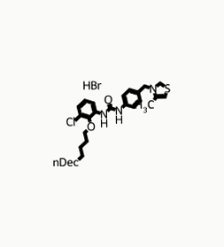 Br.CCCCCCCCCCCCCCOc1c(Cl)cccc1NC(=O)Nc1ccc(CN2CSC=C2C)cc1